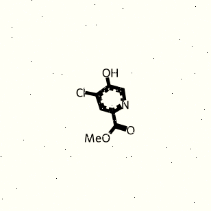 COC(=O)c1cc(Cl)c(O)cn1